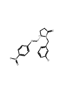 O=C1CC[C@@H](COc2ccc([N+](=O)[O-])cc2)N1Cc1cccc(Cl)c1